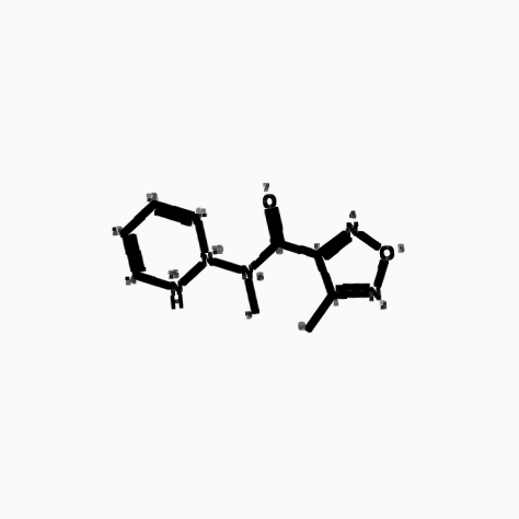 Cc1nonc1C(=O)N(C)N1C=CC=CN1